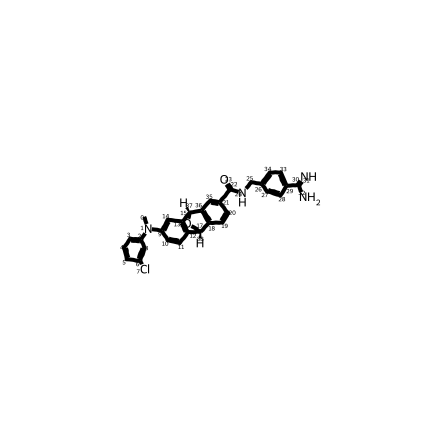 CN(c1cccc(Cl)c1)c1ccc2c(c1)[C@H]1O[C@@H]2c2ccc(C(=O)NCc3ccc(C(=N)N)cc3)cc21